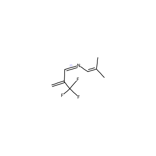 C=C(/C=N\C=C(C)C)C(F)(F)F